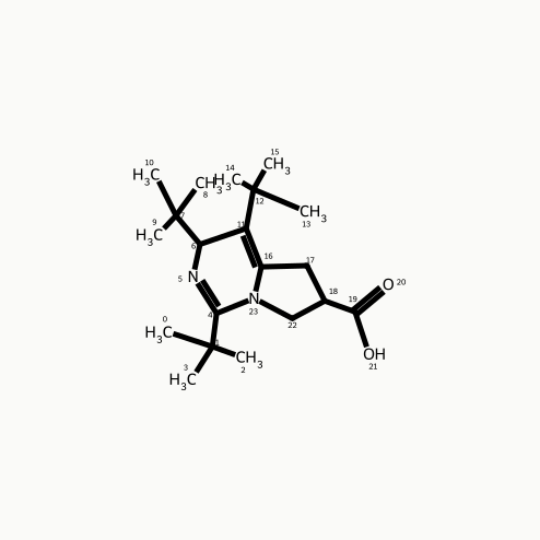 CC(C)(C)C1=NC(C(C)(C)C)C(C(C)(C)C)=C2CC(C(=O)O)CN12